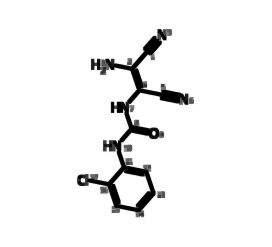 N#CC(N)=C(C#N)NC(=O)Nc1ccccc1Cl